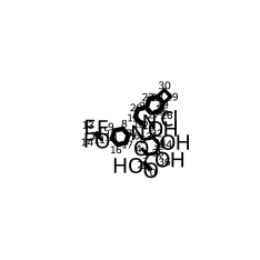 O=C(O)[C@H]1O[C@@H](N(c2ccc(OC(F)(F)F)cc2)c2ccc3cc4c(c(Cl)c3n2)CC4)[C@H](O)[C@@H](O)[C@@H]1O